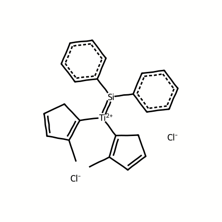 CC1=[C]([Ti+2]([C]2=C(C)C=CC2)=[Si](c2ccccc2)c2ccccc2)CC=C1.[Cl-].[Cl-]